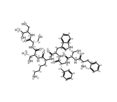 CC(O)C(CO)NC(=O)[C@H](CS)NC(=O)[C@@H](NC(=O)[C@H](CCCCN)NC(=O)[C@@H](Cc1c[nH]c2ccccc12)NC(=O)[C@@H](Cc1ccccc1)NC(=O)[C@@H](CS)NC(=O)[C@@H](N)Cc1ccccc1)[C@@H](C)O